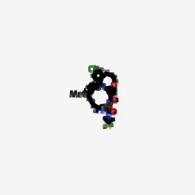 CO[C@H]1/C=C/C[C@H](C)C[S@@](=O)(NC(=O)N2CC(F)(F)C2)=NC(=O)c2ccc3c(c2)N(Cc2ccc(Cl)cc2CCCCO3)C[C@@H]2CC[C@H]21